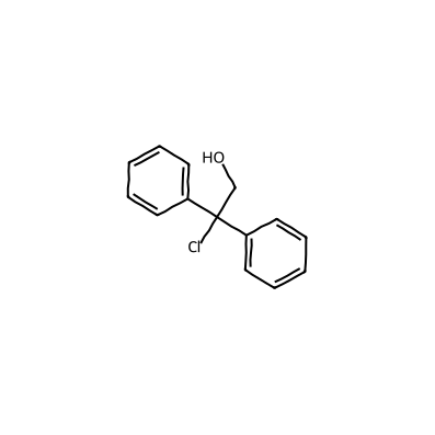 OCC(Cl)(c1ccccc1)c1ccccc1